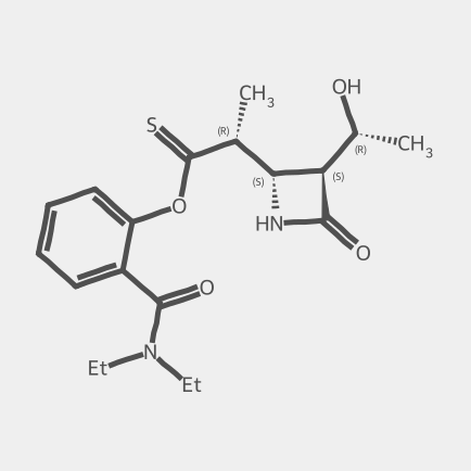 CCN(CC)C(=O)c1ccccc1OC(=S)[C@H](C)[C@H]1NC(=O)[C@@H]1[C@@H](C)O